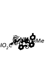 COc1cccc(OCc2ccccc2)c1-c1cc(C(=O)NC(CC(=O)NCC(=O)O)C(C)C)nn1C1CCCC(C)C1